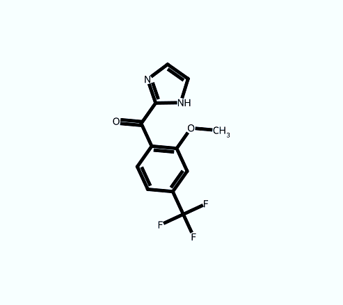 COc1cc(C(F)(F)F)ccc1C(=O)c1ncc[nH]1